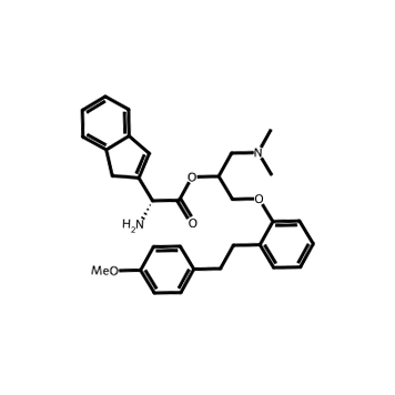 COc1ccc(CCc2ccccc2OCC(CN(C)C)OC(=O)[C@H](N)C2=Cc3ccccc3C2)cc1